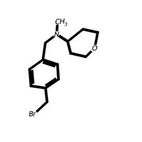 CN(Cc1ccc(CBr)cc1)C1CCOCC1